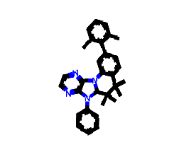 Cc1cccc(C)c1-c1ccc2c(c1)N1c3nccnc3N(c3ccccc3)C1C(C)(C)C2(C)C